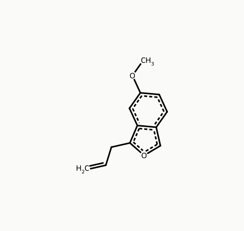 C=CCc1occ2ccc(OC)cc12